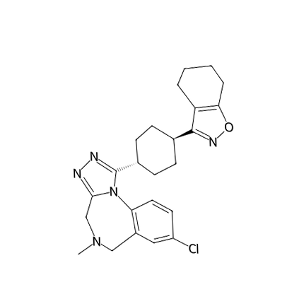 CN1Cc2cc(Cl)ccc2-n2c(nnc2[C@H]2CC[C@H](c3noc4c3CCCC4)CC2)C1